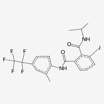 Cc1cc(C(F)(F)C(F)(F)F)ccc1NC(=O)c1cccc(I)c1C(=O)NC(C)C